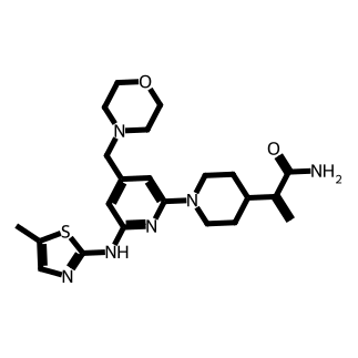 C=C(C(N)=O)C1CCN(c2cc(CN3CCOCC3)cc(Nc3ncc(C)s3)n2)CC1